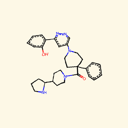 O=C(N1CCC(C2CCCN2)CC1)C1(c2ccccc2)CCN(c2cnnc(-c3ccccc3O)c2)CC1